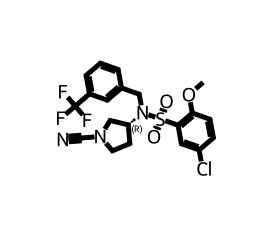 COc1ccc(Cl)cc1S(=O)(=O)N(Cc1cccc(C(F)(F)F)c1)[C@@H]1CCN(C#N)C1